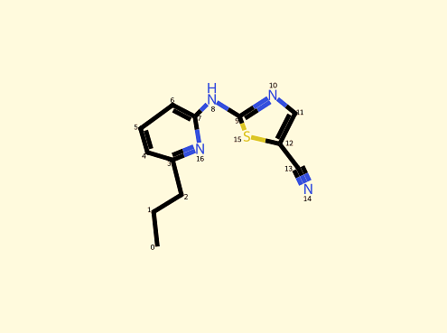 CCCc1cccc(Nc2ncc(C#N)s2)n1